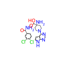 NC(=O)c1ccc(Cl)c(Cl)c1.NC1(C(=O)O)CCN(c2ncnc3[nH]ccc23)CC1